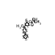 CC(c1ccc(OC(=O)N(C)C)c(F)c1)N1CCN(c2ccccn2)CC1